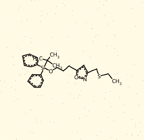 CCSCc1cc(CCCO[Si](c2ccccc2)(c2ccccc2)C(C)(C)C)on1